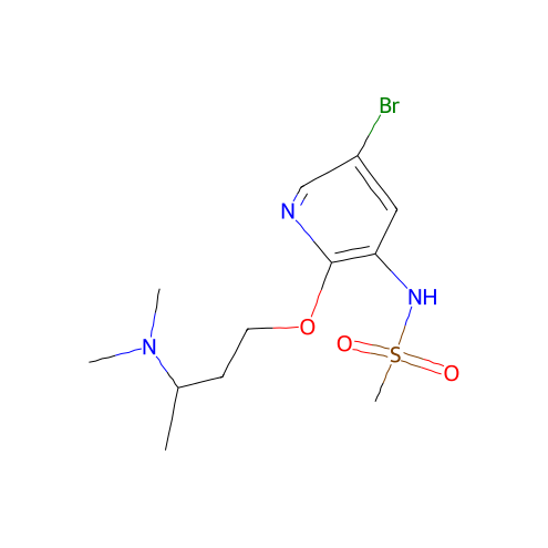 CC(CCOc1ncc(Br)cc1NS(C)(=O)=O)N(C)C